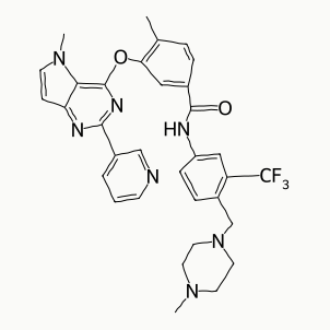 Cc1ccc(C(=O)Nc2ccc(CN3CCN(C)CC3)c(C(F)(F)F)c2)cc1Oc1nc(-c2cccnc2)nc2ccn(C)c12